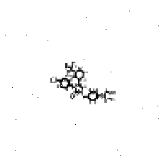 O=C1N(Cc2ccc(N3CCCC3)nc2)CC(c2cccc(C(F)(F)F)c2)N1c1ccc(Cl)cc1